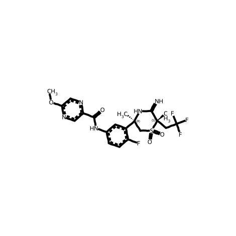 COc1cnc(C(=O)Nc2ccc(F)c([C@]3(C)CS(=O)(=O)[C@@](C)(CC(F)(F)F)C(=N)N3)c2)cn1